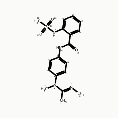 CN=C(C)N(C)c1ccc(NC(=O)c2ccccc2NS(C)(=O)=O)cc1